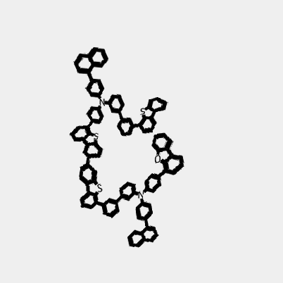 c1cc(-c2cccc(N(c3ccc(-c4cccc5ccccc45)cc3)c3ccc(-c4cccc5c4sc4ccc(-c6ccc7c(c6)sc6c(-c8cccc(-c9cccc(N(c%10ccc(-c%11cccc%12ccccc%11%12)cc%10)c%10ccc(-c%11cccc%12c%11oc%11ccccc%11%12)cc%10)c9)c8)cccc67)cc45)cc3)c2)cc(-c2cccc3c2sc2ccccc23)c1